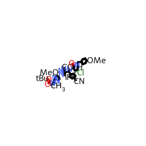 COc1ccc(Cn2cc(Cl)cc(NC(c3ccc(C#N)cc3)c3c(C(=O)O)nn(-c4cnc(N(C)C(=O)OC(C)(C)C)nc4OC)c3C(C)C)c2=O)cc1